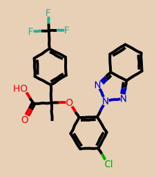 CC(Oc1ccc(Cl)cc1-n1nc2ccccc2n1)(C(=O)O)c1ccc(C(F)(F)F)cc1